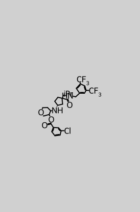 CC(C)[C@]1(C(=O)NCc2cc(C(F)(F)F)cc(C(F)(F)F)c2)CC[C@@H](NC2CCOCC2OC(=O)c2cccc(Cl)c2)C1